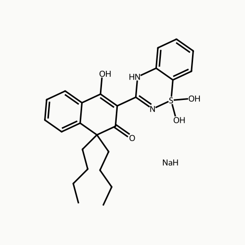 CCCCC1(CCCC)C(=O)C(C2=NS(O)(O)c3ccccc3N2)=C(O)c2ccccc21.[NaH]